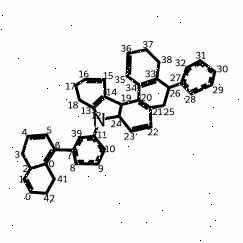 C1=CC2CC=CC(c3cccc(N4C5=C(C=CCC5)C5C6=C(C=CC54)CC(c4ccccc4)C4=C6C=CCC4)c3)=C2CC1